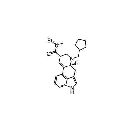 CCN(C)C(=O)[C@@H]1C=C2c3cccc4[nH]cc(c34)C[C@H]2N(CC2CCCC2)C1